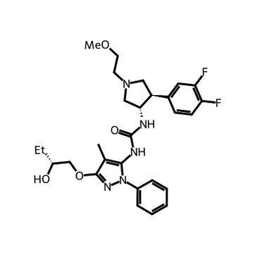 CC[C@@H](O)COc1nn(-c2ccccc2)c(NC(=O)N[C@@H]2CN(CCOC)C[C@H]2c2ccc(F)c(F)c2)c1C